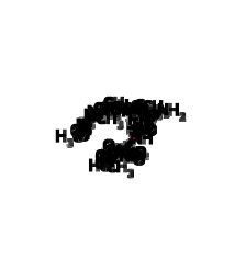 CC[C@@]1(O)C(=O)OCc2c1cc1n(c2=O)Cc2c-1nc1cc3c(cc1c2CCCNC(=O)CNC(=O)[C@H](CCCCN)NC(=O)[C@@H](NC(=O)COCCOCC(C)(C)OCC(C)(C)n1cc(-c2cnc(S(C)(=O)=O)nc2)nn1)C(C)C)OCO3